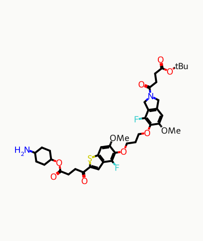 COc1cc2c(c(F)c1OCCCOc1c(OC)cc3sc(C(=O)CCC(=O)OC4CCC(N)CC4)cc3c1F)CN(C(=O)CCC(=O)OC(C)(C)C)C2